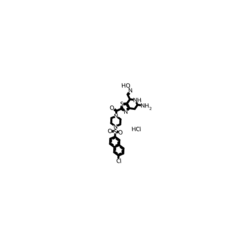 Cl.NC1Cc2nc(C(=O)N3CCN(S(=O)(=O)c4ccc5cc(Cl)ccc5c4)CC3)sc2C(C=NO)N1